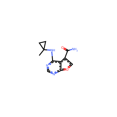 CC1(Nc2ncnc3occ(C(N)=O)c23)CC1